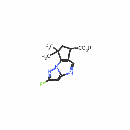 CC1(C(F)(F)F)CC(C(=O)O)c2cnc3cc(F)nn3c21